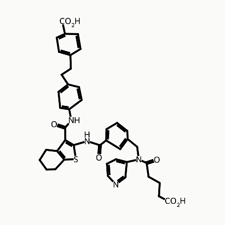 O=C(O)CCCC(=O)N(Cc1cccc(C(=O)Nc2sc3c(c2C(=O)Nc2ccc(CCc4ccc(C(=O)O)cc4)cc2)CCCC3)c1)c1cccnc1